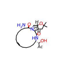 CC(=O)C(O)[C@@H]1CCCCC=CCCCC[C@H](N)C(=O)N2C[C@@H]3OC(C)(C)C[C@@H]3[C@H]2C(=O)N1